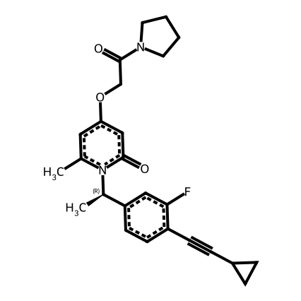 Cc1cc(OCC(=O)N2CCCC2)cc(=O)n1[C@H](C)c1ccc(C#CC2CC2)c(F)c1